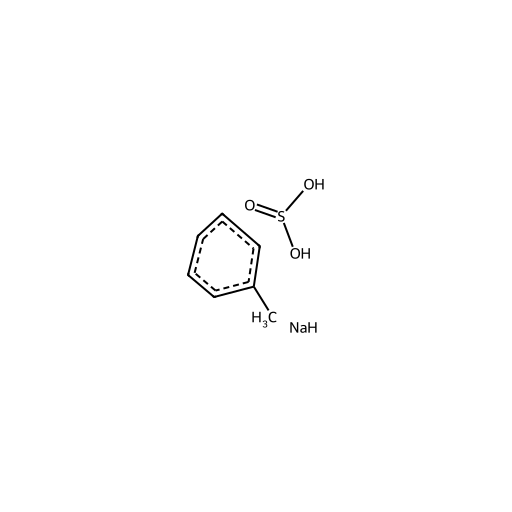 Cc1ccccc1.O=S(O)O.[NaH]